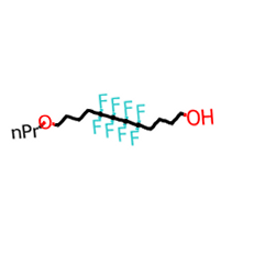 CCCOCCCCC(F)(F)C(F)(F)C(F)(F)C(F)(F)CCCCO